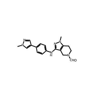 Cn1cc(-c2ccc(Nc3nn(C)c4c3CN(C=O)CC4)cc2)cn1